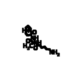 C[C@@H](NC(=O)CCCCCN)C(=O)N[C@@H]1CC[C@@H]2CCCN2C1=O